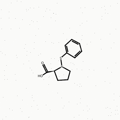 O=C(O)[C@@H]1CCCN1Sc1ccccc1